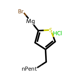 CCCCCCc1cs[c]([Mg][Br])c1.Cl